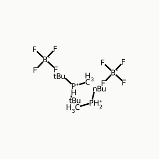 CCCC[PH2+]C.C[PH+](C(C)(C)C)C(C)(C)C.F[B-](F)(F)F.F[B-](F)(F)F